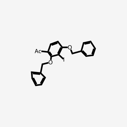 CC(=O)c1ccc(OCc2ccccc2)c(I)c1OCc1ccccc1